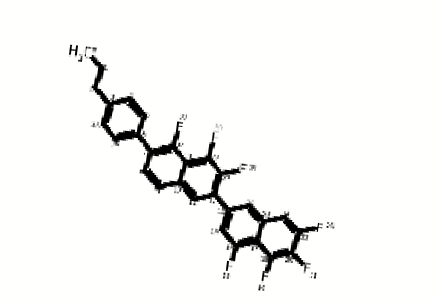 CCCc1ccc(-c2ccc3cc(-c4cc(F)c5c(F)c(F)c(F)cc5c4)c(F)c(F)c3c2F)cc1